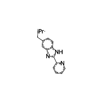 C[C](C)Cc1ccc2[nH]c(-c3ccccn3)nc2c1